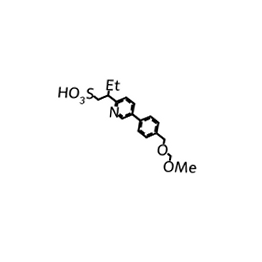 CCC(CS(=O)(=O)O)c1ccc(-c2ccc(COCOC)cc2)cn1